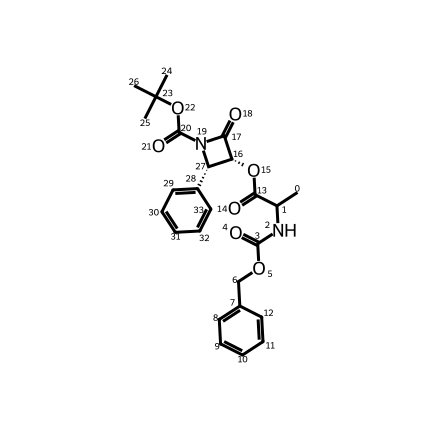 CC(NC(=O)OCc1ccccc1)C(=O)O[C@H]1C(=O)N(C(=O)OC(C)(C)C)[C@H]1c1ccccc1